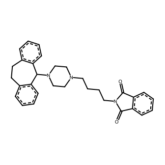 O=C1c2ccccc2C(=O)N1CCCCN1CCN(C2c3ccccc3CCc3ccccc32)CC1